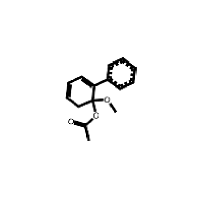 COC1(OC(C)=O)CC=CC=C1c1ccccc1